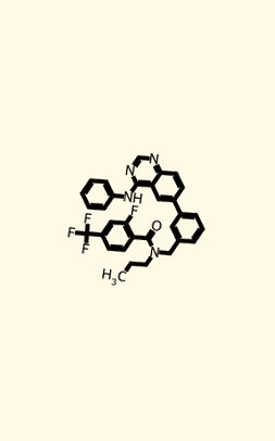 CCCN(Cc1cccc(-c2ccc3ncnc(Nc4ccccc4)c3c2)c1)C(=O)c1ccc(C(F)(F)F)cc1F